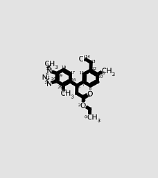 CCOC(=O)CC(c1ccc(C)c(CCl)c1)c1ccc2c(nnn2C)c1C